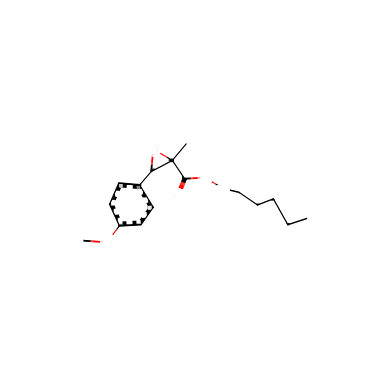 CCCCCCOC(=O)C1(C)OC1c1ccc(OC)cc1